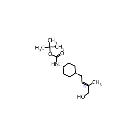 C/C(=C\C[C@H]1CC[C@H](NC(=O)OC(C)(C)C)CC1)CO